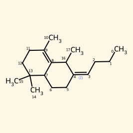 CCC/C=C1/CCC2C(=C(C)CCC2(C)C)C1C